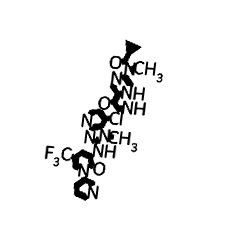 CN(C(=O)C1CC1)C1=CN/C(=C(\C=N)Oc2cnc3nc(Nc4cc(C(F)(F)F)cn(-c5cccnc5)c4=O)n(C)c3c2Cl)C=N1